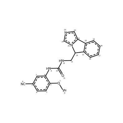 CC(C)Oc1ccc(C#N)cc1NC(=O)NCC1c2ccccc2-c2cncn21